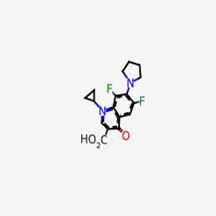 O=C(O)c1cn(C2CC2)c2c(F)c(N3CCCC3)c(F)cc2c1=O